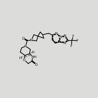 O=C1CO[C@H]2CCN(C(=O)N3CC4(CC(Cc5ccc6nc(C(F)(F)F)nn6n5)C4)C3)C[C@H]2N1